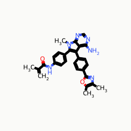 C=C(C)C(=O)Nc1ccc(-c2c(-c3ccc(-c4nc(C)c(C)o4)cc3)c3c(N)ncnc3n2C)cc1